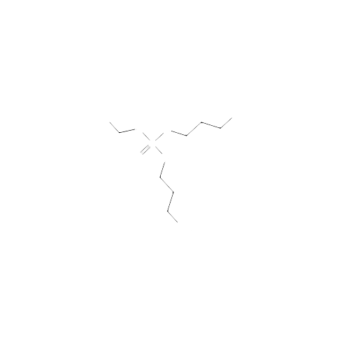 CCCCOP(=O)(OCO)OCCCC